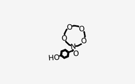 O=C(c1ccc(O)cc1)N1CCOCCOCCOCCOCC1